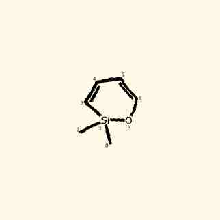 C[Si]1(C)C=CC=CO1